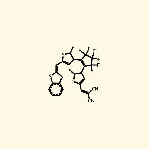 CC1SC(C=C(C#N)C#N)=CC1C1=C(C2C=C(C=C3Sc4ccccc4S3)SC2C)C(F)(F)C(F)(F)C1(F)F